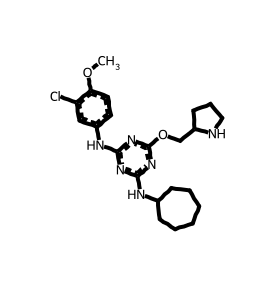 COc1ccc(Nc2nc(NC3CCCCCC3)nc(OCC3CCCN3)n2)cc1Cl